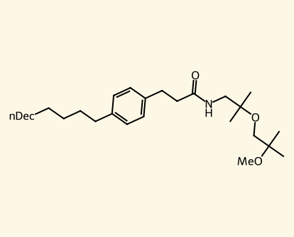 CCCCCCCCCCCCCCc1ccc(CCC(=O)NCC(C)(C)OCC(C)(C)OC)cc1